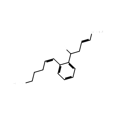 CCCCC/C=C/CC(O)c1ccccc1/C=C\CCCC(=O)O